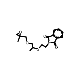 CC(COCC1(C)CO1)SCCN1C(=O)c2ccccc2C1=O